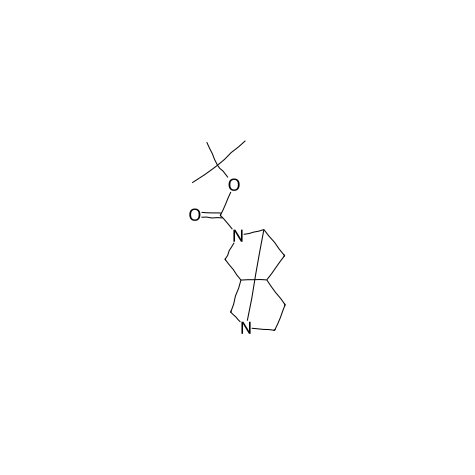 CC(C)(C)OC(=O)N1CC2CN3CCC2CC31